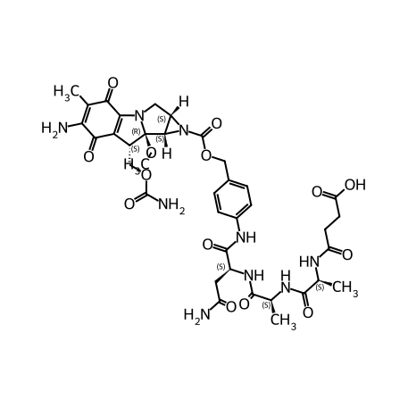 CO[C@@]12[C@H](COC(N)=O)C3=C(C(=O)C(C)=C(N)C3=O)N1C[C@H]1[C@@H]2N1C(=O)OCc1ccc(NC(=O)[C@H](CC(N)=O)NC(=O)[C@H](C)NC(=O)[C@H](C)NC(=O)CCC(=O)O)cc1